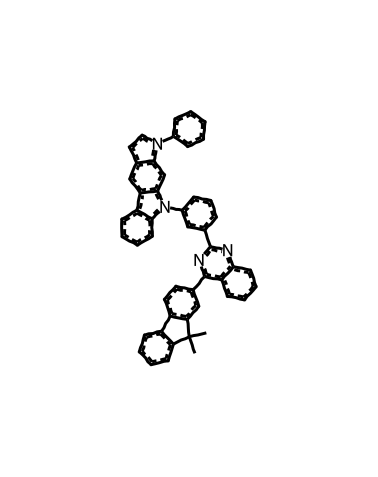 CC1(C)c2ccccc2-c2ccc(-c3nc(-c4cccc(-n5c6ccccc6c6cc7ccn(-c8ccccc8)c7cc65)c4)nc4ccccc34)cc21